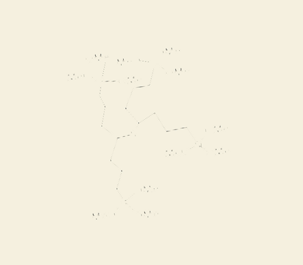 CO[Si](CCCC(CCC[Si](OC)(OC)OC)SC(CCC[Si](OC)(OC)OC)CCC[Si](OC)(OC)OC)(OC)OC